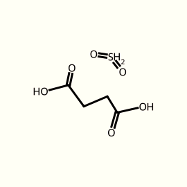 O=C(O)CCC(=O)O.O=[SH2]=O